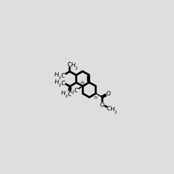 COC(=O)[C@H]1CC[C@@]2(C)C(=CCC(C(C)C)C2C(C)C)C1